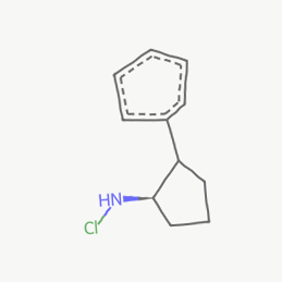 ClN[C@@H]1CCCC1c1ccccc1